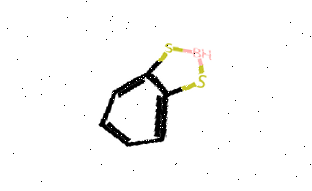 B1Sc2ccccc2S1